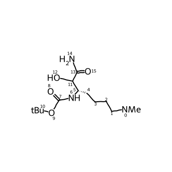 CNCCCC[C@H](NC(=O)OC(C)(C)C)C(O)C(N)=O